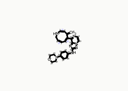 C=C1/C=C\NC/C=C\C=C/1c1nccn2nc(Nc3ccc(N4CCOCC4)cc3)nc12